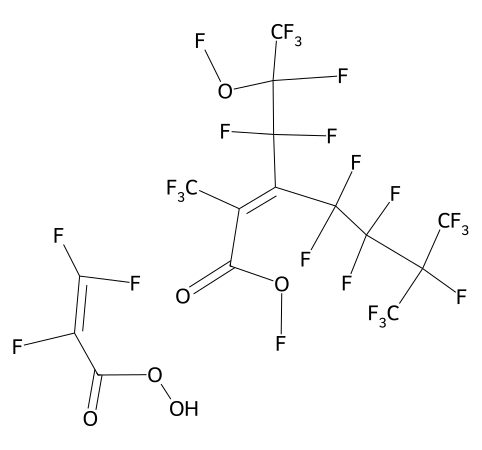 O=C(OF)C(=C(C(F)(F)C(F)(F)C(F)(C(F)(F)F)C(F)(F)F)C(F)(F)C(F)(OF)C(F)(F)F)C(F)(F)F.O=C(OO)C(F)=C(F)F